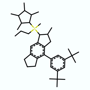 CCCS(C)(C1c2cc3c(c(-c4cc(C(C)(C)C)cc(C(C)(C)C)c4)c2CC1C)CCC3)C1C(C)C(C)C(C)C1C